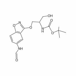 CC(C)(C)OC(=O)NC(CO)COc1noc2ccc(NC=O)cc12